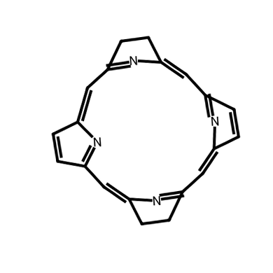 C1=CC2=NC1=CC1=NC(=CC3=NC(=CC4=NC(=C2)CC4)C=C3)CC1